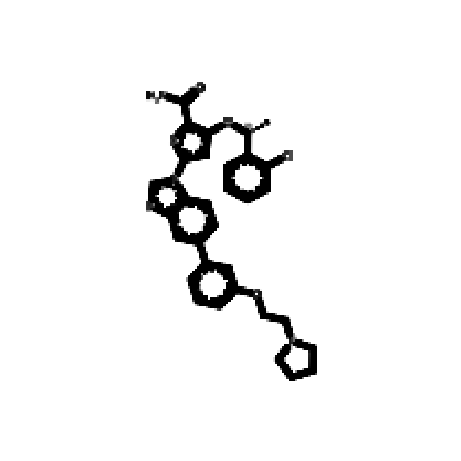 C[C@@H](Oc1cc(-n2cnc3cc(-c4cccc(OCCN5CCCC5)c4)ccc32)sc1C(N)=O)c1ccccc1Cl